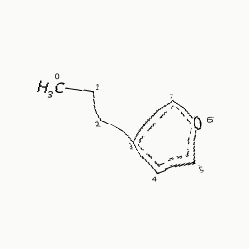 CC[CH]c1ccoc1